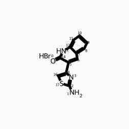 Br.Nc1nc(-c2cc3ccccc3[nH]c2=O)cs1